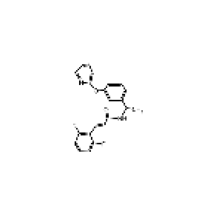 CC(NC(=O)/C=C/c1c(F)cccc1F)c1cccc(Oc2ccccn2)c1